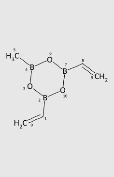 C=CB1OB(C)OB(C=C)O1